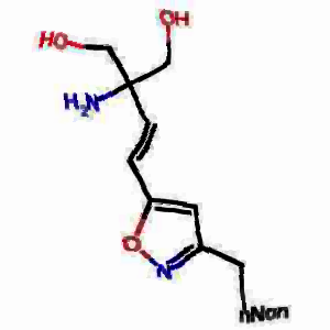 CCCCCCCCCCc1cc(C=CC(N)(CO)CO)on1